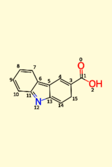 O=C(O)C1=CC2=c3ccccc3=NC2=CC1